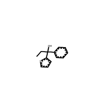 CCC(O)(c1ccccc1)c1cccs1